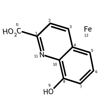 O=C(O)c1ccc2cccc(O)c2n1.[Fe]